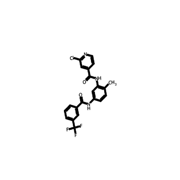 Cc1ccc(NC(=O)c2cccc(C(F)(F)F)c2)cc1NC(=O)c1ccnc(Cl)c1